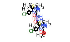 COC(=O)C[C@@H]1N=C(c2ccc(Cl)cc2)c2c(sc(C(=O)NBNC(=O)C[C@@H]3N=C(c4ccc(Cl)cc4)c4c(sc(C)c4C)-n4c(C)nnc43)c2C)-n2c(C)nnc21